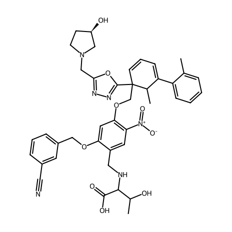 Cc1ccccc1C1=CC=CC(COc2cc(OCc3cccc(C#N)c3)c(CNC(C(=O)O)C(C)O)cc2[N+](=O)[O-])(c2nnc(CN3CC[C@@H](O)C3)o2)C1C